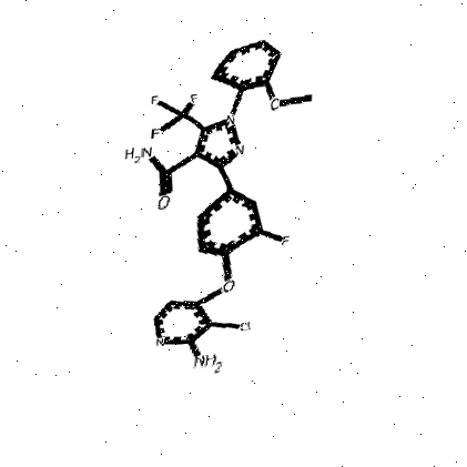 COc1ccccc1-n1nc(-c2ccc(Oc3ccnc(N)c3Cl)c(F)c2)c(C(N)=O)c1C(F)(F)F